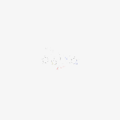 CC1CCC(C2=C(c3cc(-c4ccccc4)sc3C(=O)O)CCN(Cc3ccncc3)C2)CC1